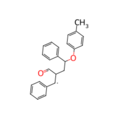 Cc1ccc(OC(CC([CH]c2ccccc2)C=O)c2ccccc2)cc1